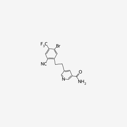 N#Cc1cc(C(F)(F)F)c(Br)cc1CCc1cncc(C(N)=O)c1